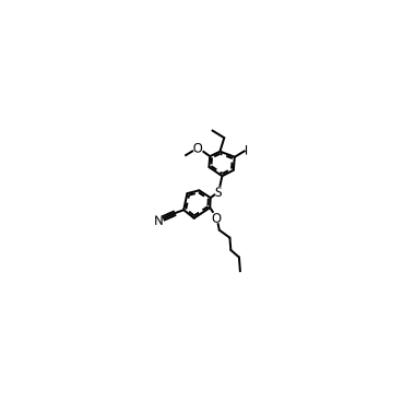 CCCCCOc1cc(C#N)ccc1Sc1cc(I)c(CC)c(OC)c1